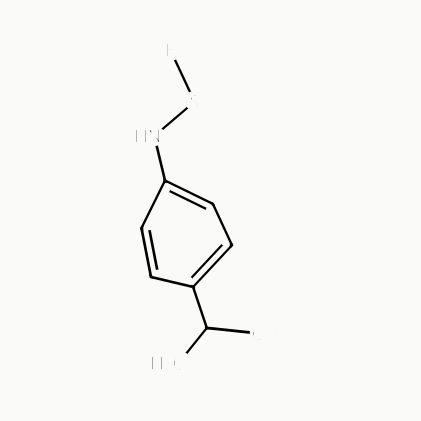 CC(C)c1ccc(NSF)cc1